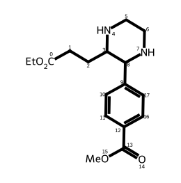 CCOC(=O)CCC1NCCNC1c1ccc(C(=O)OC)cc1